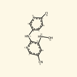 N#Cc1cnc(Nc2ccc(Cl)nc2)c(NO)c1